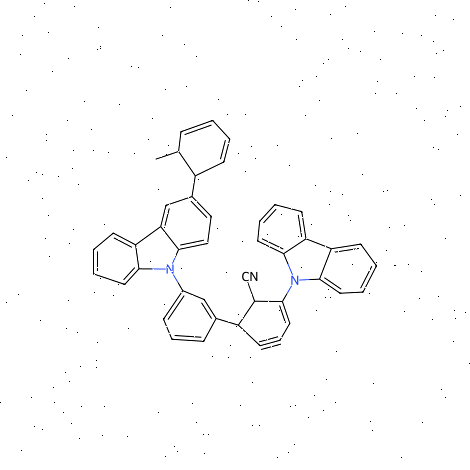 CC1C=CC=CC1c1ccc2c(c1)c1ccccc1n2-c1cccc(C2C#CC=C(n3c4ccccc4c4ccccc43)C2C#N)c1